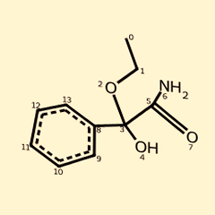 CCOC(O)(C(N)=O)c1ccccc1